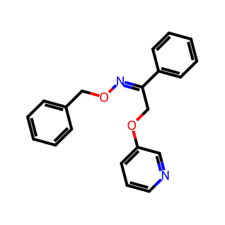 c1ccc(CO/N=C(\COc2cccnc2)c2ccccc2)cc1